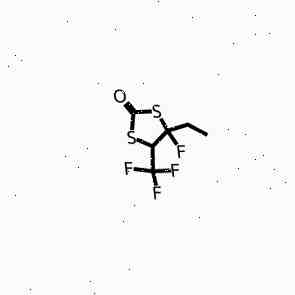 CCC1(F)SC(=O)SC1C(F)(F)F